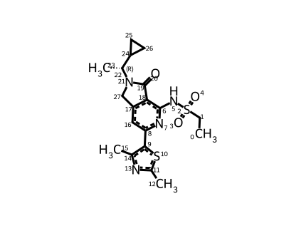 CCS(=O)(=O)Nc1nc(-c2sc(C)nc2C)cc2c1C(=O)N([C@H](C)C1CC1)C2